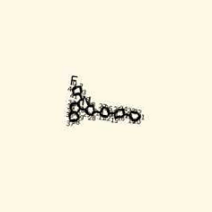 Fc1ccc(-c2nc3cc(-c4ccc(-c5ccc(-c6ccccc6)cc5)cc4)ccc3c3c2ccc2ccccc23)cc1